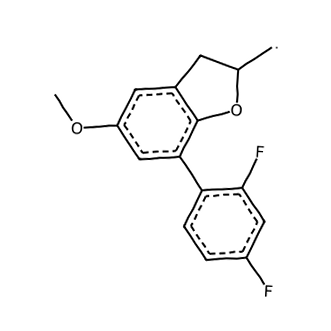 [CH2]C1Cc2cc(OC)cc(-c3ccc(F)cc3F)c2O1